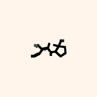 C/C(NC1CCCC1(C)O)=C(\N)C=N